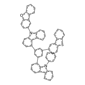 c1ccc(-n2c3ccccc3c3cccc(-c4cc(-c5ccc6sc7ccccc7c6c5)cc(-c5cccc6c5c5ccccc5n6-c5ccc6oc7ccccc7c6c5)c4)c32)cc1